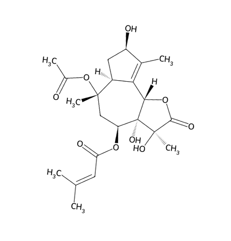 CC(=O)O[C@@]1(C)C[C@H](OC(=O)C=C(C)C)[C@@]2(O)[C@@H](OC(=O)[C@@]2(C)O)C2=C(C)[C@H](O)C[C@@H]21